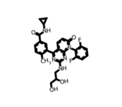 Cc1ccc(C(=O)NC2CC2)cc1-c1nc(NCC(O)CO)nc2c1ccc(=O)n2-c1c(F)cccc1F